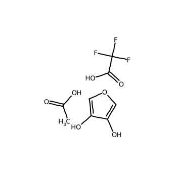 CC(=O)O.O=C(O)C(F)(F)F.Oc1cocc1O